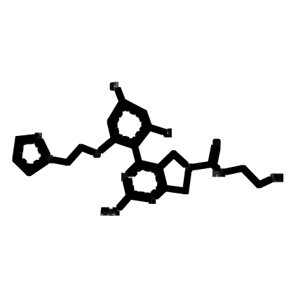 CNc1nc2c(c(-c3c(Cl)cc(Cl)cc3OCCn3cccn3)n1)CN(C(=O)NCCO)C2